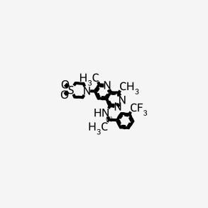 Cc1nc2c(C)nnc(N[C@H](C)c3cccc(C(F)(F)F)c3)c2cc1N1CCS(=O)(=O)CC1